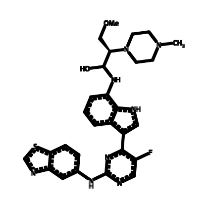 COC[C@H](C(O)Nc1cccc2c(-c3nc(Nc4ccc5scnc5c4)ncc3F)c[nH]c12)N1CCN(C)CC1